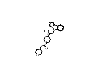 O=C(CC1CCOCC1)N1CCC([C@@H](O)CC2c3ccccc3-c3cncn32)CC1